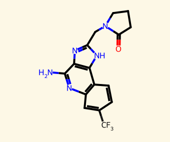 Nc1nc2cc(C(F)(F)F)ccc2c2[nH]c(CN3CCCC3=O)nc12